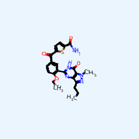 CCCc1nn(C)c2c(=O)[nH]c(-c3cc(C(=O)c4ccc(C(N)=O)s4)ccc3OCC)nc12